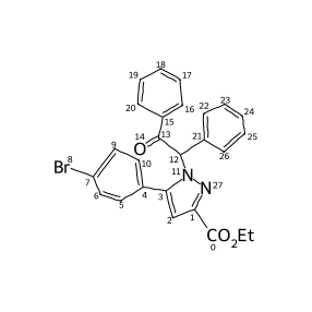 CCOC(=O)c1cc(-c2ccc(Br)cc2)n(C(C(=O)c2ccccc2)c2ccccc2)n1